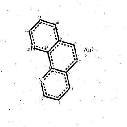 [Au+3].c1cnc2c(c1)ccc1cccnc12